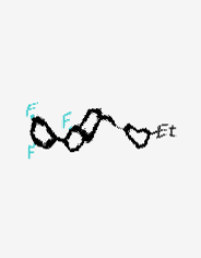 CC[C@H]1CC[C@H](CCc2ccc3c(F)c(-c4cc(F)cc(F)c4)ccc3c2)CC1